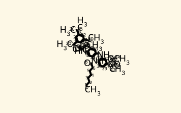 CCCCCCCC(=O)Nc1cc(NS(=O)(=O)c2c(C(C)C)cc(C(C)C)cc2C(C)C)ccc1Nc1cccc(N(C)S(C)(=O)=O)c1